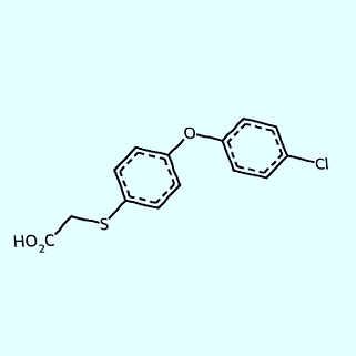 O=C(O)CSc1ccc(Oc2ccc(Cl)cc2)cc1